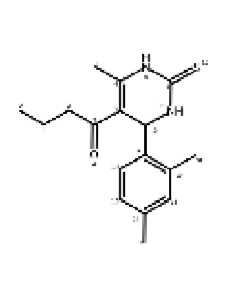 CCCC(=O)C1=C(C)NC(=S)NC1c1ccc(C)cc1C